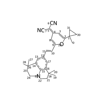 CC1(C2=CC(=C(C#N)C#N)C=C(/C=C/c3cc4c5c(c3)C(C)(C)CCN5CCC4(C)C)O2)CC1